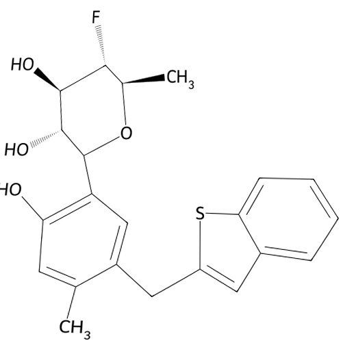 Cc1cc(O)c(C2O[C@H](C)[C@@H](F)[C@H](O)[C@H]2O)cc1Cc1cc2ccccc2s1